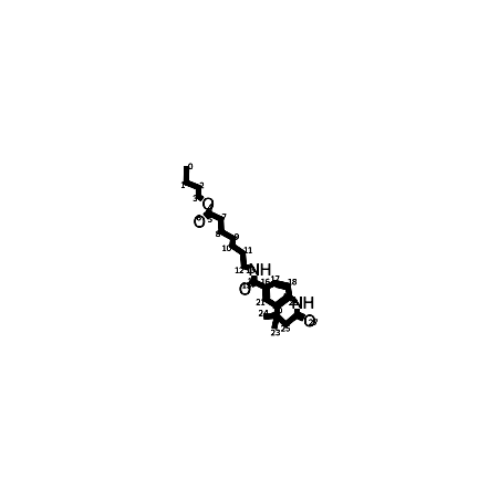 CCCCOC(=O)CCCCCCNC(=O)c1ccc2c(c1)C(C)(C)CC(=O)N2